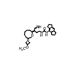 COC1CN([C@H]2CCCCC/C(=C(\C=N)CCNC(=O)Nc3c4c(cc5c3CCC5)CCC4)OC2)C1